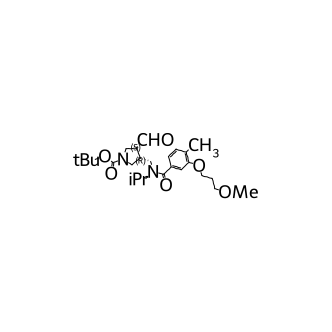 COCCCOc1cc(C(=O)N(C[C@@H]2CN(C(=O)OC(C)(C)C)C[C@H]2C=O)C(C)C)ccc1C